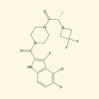 C[C@@H](C(=O)N1CCN(C(=O)c2[nH]c3ccc(F)c(Cl)c3c2F)CC1)N1CC(F)(F)C1